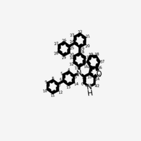 C1=C(N(c2ccc(-c3ccccc3)cc2)c2ccc(-c3ccccc3-c3ccccc3)cc2)c2c(oc3ccccc23)CN1